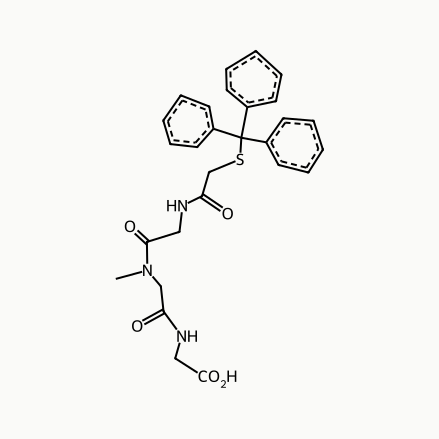 CN(CC(=O)NCC(=O)O)C(=O)CNC(=O)CSC(c1ccccc1)(c1ccccc1)c1ccccc1